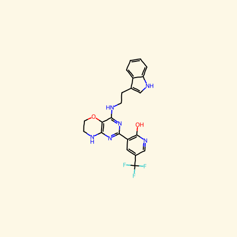 Oc1ncc(C(F)(F)F)cc1-c1nc2c(c(NCCc3c[nH]c4ccccc34)n1)OCCN2